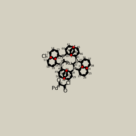 O=C(Cl)[C](=O)[Pd+].[Cl-].c1ccc(P(c2ccccc2)[CH]([Ru][CH](P(c2ccccc2)c2ccccc2)P(c2ccccc2)c2ccccc2)P(c2ccccc2)c2ccccc2)cc1